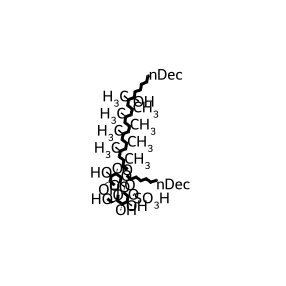 CCCCCCCCCCCCCCCC(=O)O[C@H]1[C@@H](O[C@H]2O[C@H](CO)[C@@H](O)[C@H](O)[C@H]2OS(=O)(=O)O)O[C@H](CO)[C@@H](O)[C@@H]1OC(=O)[C@@H](C)C[C@@H](C)C[C@@H](C)C[C@@H](C)C[C@@H](C)C[C@@H](C)C[C@@H](C)C[C@@H](C)[C@H](O)CCCCCCCCCCCCCCC